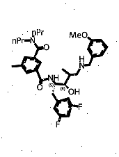 CCCN(CCC)C(=O)c1cc(C)cc(C(=O)N[C@@H](Cc2cc(F)cc(F)c2)[C@H](O)C(C)CNCc2cccc(OC)c2)c1